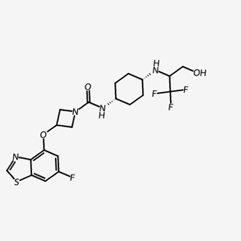 O=C(N[C@H]1CC[C@@H](NC(CO)C(F)(F)F)CC1)N1CC(Oc2cc(F)cc3scnc23)C1